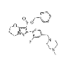 CN1CCN(Cc2ccc(-c3nn4c(c3C(=O)OCc3ccccc3)OCCC4)c(F)c2)CC1